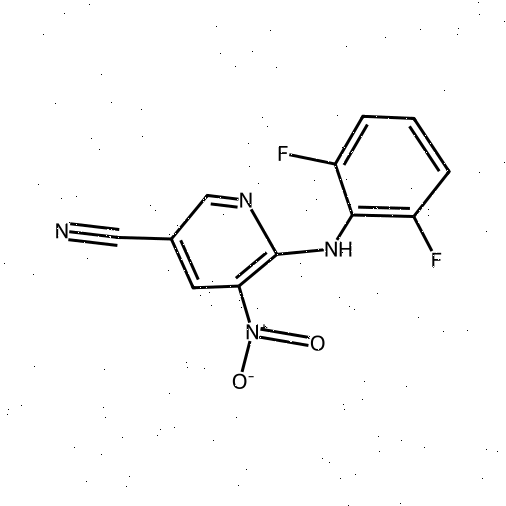 N#Cc1cnc(Nc2c(F)cccc2F)c([N+](=O)[O-])c1